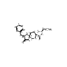 COCCC[C@]1(N(C)C)CC[C@@]2(CC1)CC(=O)N(Cc1ccccc1)C2